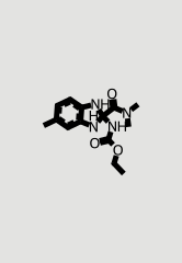 CCOC(=O)NC1(C(=O)N(C)C)Nc2ccc(C)cc2N1